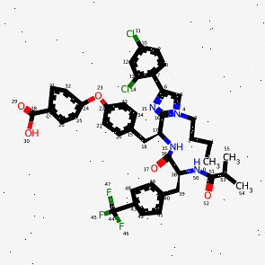 CCCCn1cc(-c2ccc(Cl)cc2Cl)nc1[C@H](Cc1ccc(Oc2ccc(C(=O)O)cc2)cc1)NC(=O)[C@H](Cc1ccc(C(F)(F)F)cc1)NC(=O)C(C)C